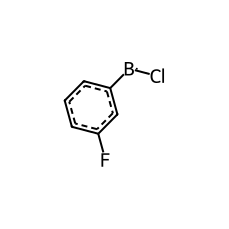 Fc1cccc([B]Cl)c1